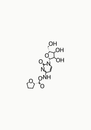 O=C(ONc1ccn([C@@H]2O[C@H](CO)[C@@H](O)[C@H]2O)c(=O)n1)[C@@H]1CCCO1